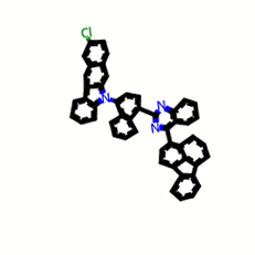 Clc1ccc2cc3c(cc2c1)c1ccccc1n3-c1ccc(-c2nc(-c3ccc4c5c(cccc35)-c3ccccc3-4)c3ccccc3n2)c2ccccc12